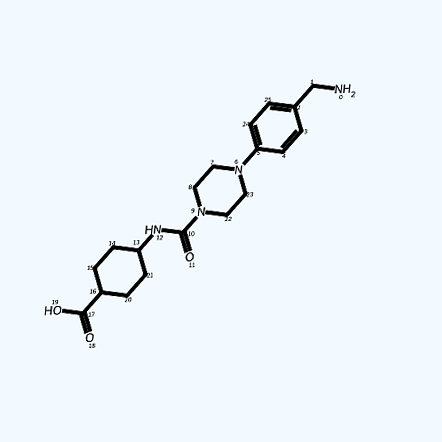 NCc1ccc(N2CCN(C(=O)NC3CCC(C(=O)O)CC3)CC2)cc1